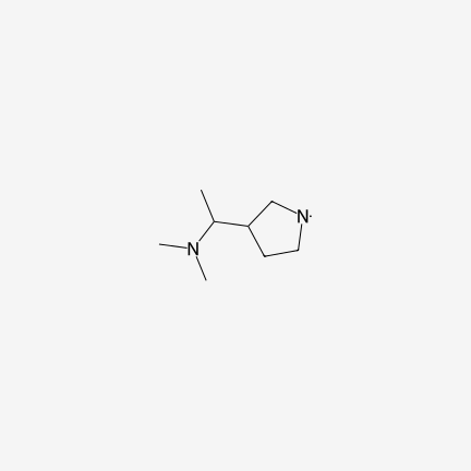 CC(C1CC[N]C1)N(C)C